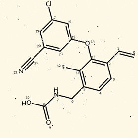 C=Cc1ccc(CNC(=O)O)c(F)c1Oc1cc(Cl)cc(C#N)c1